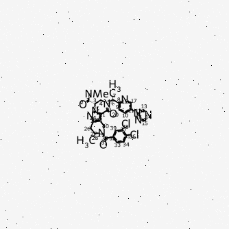 CNC(=O)[C@@H]1CN([C@H](C)c2ccc(-n3cncn3)cn2)C(=O)c2c3c(nn21)C[C@@H](C)N(C(=O)c1ccc(Cl)c(Cl)c1)C3